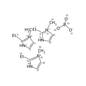 CCc1[nH]cc[n+]1C.CCc1[nH]cc[n+]1C.CCc1[nH]cc[n+]1C.[O-]B([O-])[O-]